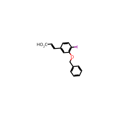 O=C(O)C=Cc1ccc(I)c(OCc2ccccc2)c1